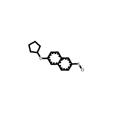 ClSc1ccc2cc(OC3CCCC3)ccc2c1